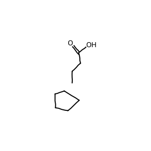 C1CCCC1.CCCC(=O)O